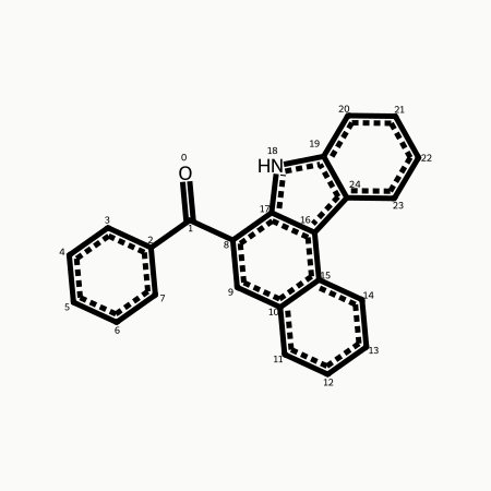 O=C(c1ccccc1)c1cc2ccccc2c2c1[nH]c1ccccc12